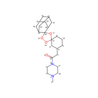 CN1CCN(C(=O)CC2CCCC3(C2)OOC2(O3)C3CC4CC(C3)CC2C4)CC1